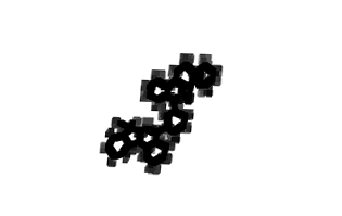 CC1(C)c2ccccc2-c2c1cc(-c1cccc(-c3nc4c(c5ccccc35)CC=C3C=CC=CN34)c1)c1ccccc21